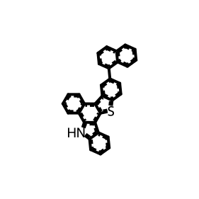 c1ccc2c(-c3ccc4sc5c(c4c3)c3ccccc3c3[nH]c4ccccc4c35)cccc2c1